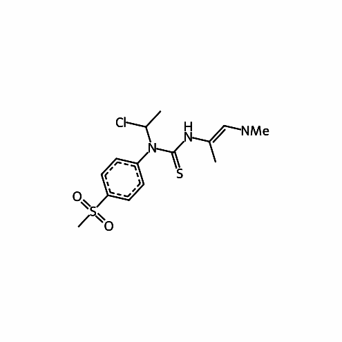 CN/C=C(\C)NC(=S)N(c1ccc(S(C)(=O)=O)cc1)C(C)Cl